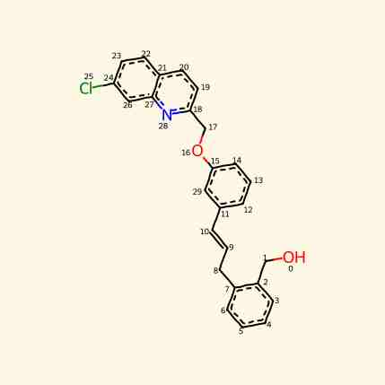 OCc1ccccc1C/C=C/c1cccc(OCc2ccc3ccc(Cl)cc3n2)c1